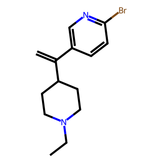 C=C(c1ccc(Br)nc1)C1CCN(CC)CC1